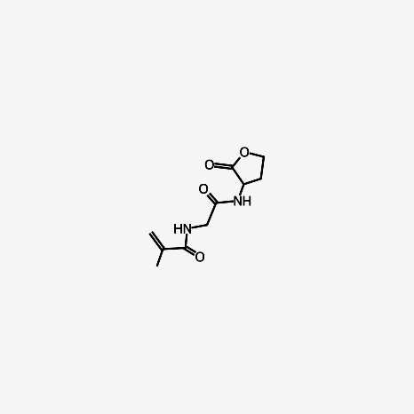 C=C(C)C(=O)NCC(=O)NC1CCOC1=O